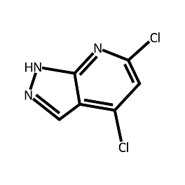 Clc1cc(Cl)c2cn[nH]c2n1